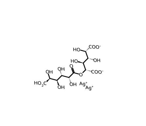 O=C(O)[C@@H](O)[C@H](O)[C@H](O)[C@@H](O)C(=O)O[C@@H](C(=O)[O-])[C@@H](O)[C@@H](O)[C@H](O)C(=O)[O-].[Ag+].[Ag+]